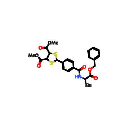 CCC(C)C(NC(=O)c1ccc(C2SC(C(=O)OC)C(C(=O)OC)S2)cc1)C(=O)OCc1ccccc1